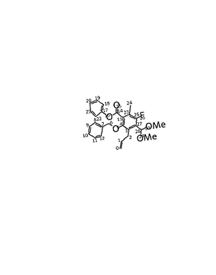 C=CCc1c(OCc2ccccc2)c(C(=O)Oc2ccccc2)c(C)c(F)c1C(OC)OC